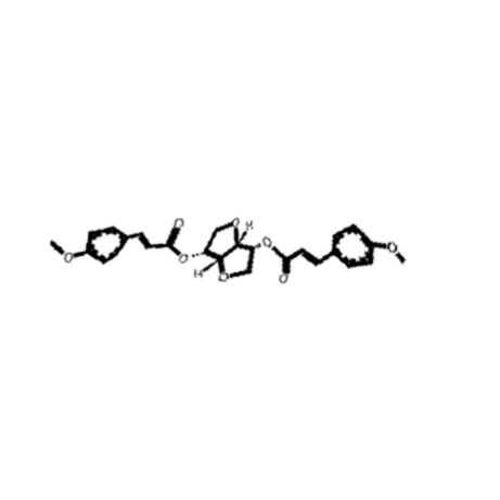 COc1ccc(/C=C/C(=O)O[C@@H]2CO[C@H]3[C@@H]2OC[C@H]3OC(=O)/C=C/c2ccc(OC)cc2)cc1